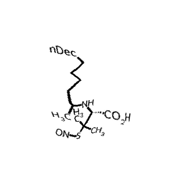 CCCCCCCCCCCCCCC(C)N[C@H](C(=O)O)C(C)(C)SN=O